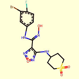 O=S1(=O)CCC(Nc2nonc2C(=NO)Nc2ccc(F)c(Br)c2)CC1